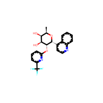 C[C@H]1O[C@H](c2ccnc3ccccc23)[C@H](Oc2cccc(C(F)(F)F)n2)[C@@H](O)[C@H]1O